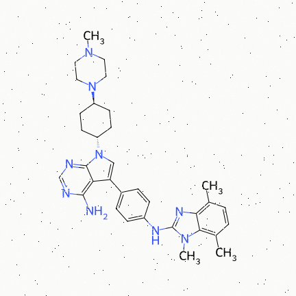 Cc1ccc(C)c2c1nc(Nc1ccc(-c3cn([C@H]4CC[C@H](N5CCN(C)CC5)CC4)c4ncnc(N)c34)cc1)n2C